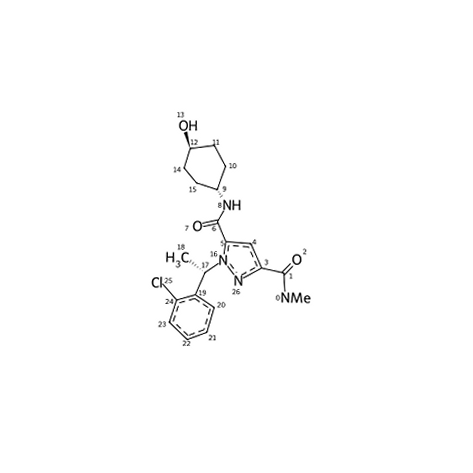 CNC(=O)c1cc(C(=O)N[C@H]2CC[C@H](O)CC2)n([C@@H](C)c2ccccc2Cl)n1